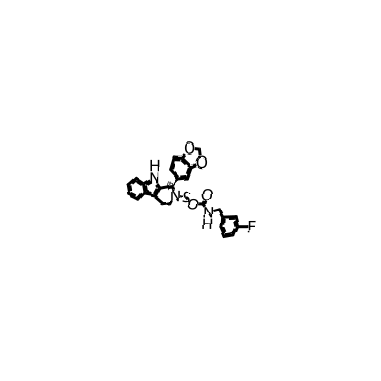 O=C(NCc1cccc(F)c1)OSN1CCc2c([nH]c3ccccc23)[C@H]1c1ccc2c(c1)OCO2